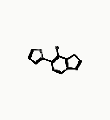 Brc1c(-c2cccs2)ccc2c1CC=C2